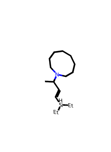 CC[SiH](C=CC(C)N1CCCCCCCC1)CC